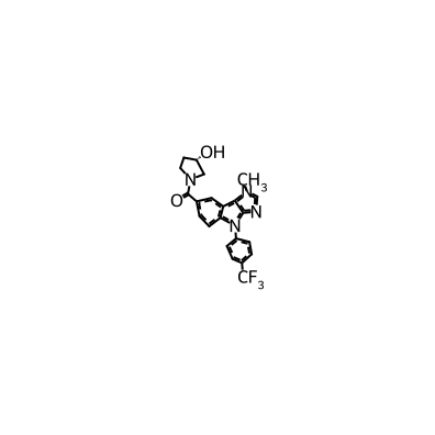 Cn1cnc2c1c1cc(C(=O)N3CC[C@H](O)C3)ccc1n2-c1ccc(C(F)(F)F)cc1